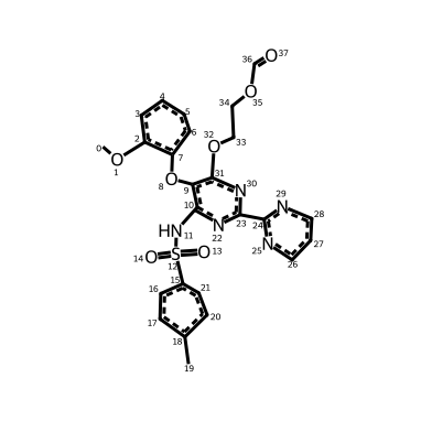 COc1ccccc1Oc1c(NS(=O)(=O)c2ccc(C)cc2)nc(-c2ncccn2)nc1OCCOC=O